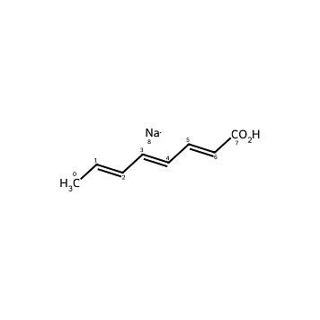 CC=CC=CC=CC(=O)O.[Na]